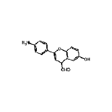 Nc1ccc(C2=CC(C=O)c3cc(O)ccc3O2)cc1